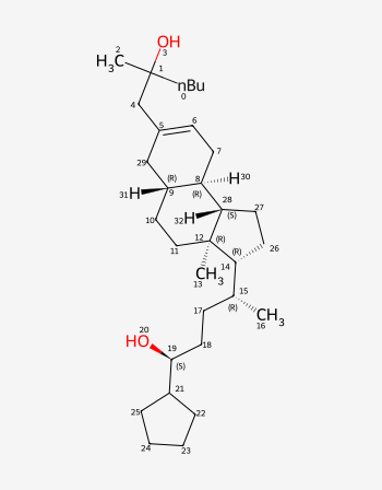 CCCCC(C)(O)CC1=CC[C@@H]2[C@H](CC[C@]3(C)[C@@H]([C@H](C)CC[C@H](O)C4CCCC4)CC[C@@H]23)C1